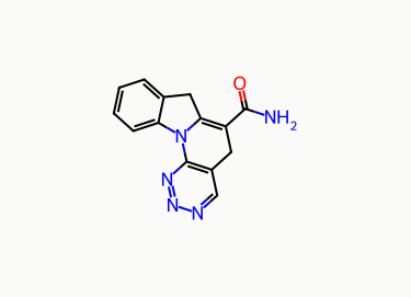 NC(=O)C1=C2Cc3ccccc3N2c2nnncc2C1